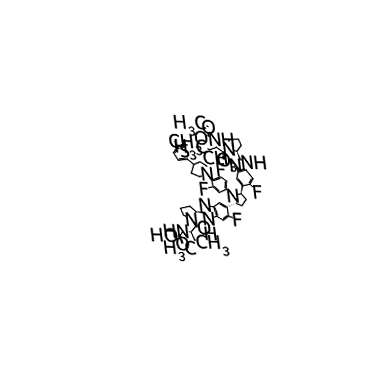 COC(=O)N[C@H](C(=O)N1CCC[C@H]1c1nc2cc([C@H]3CC[C@H](c4cc5nc([C@@H]6CCCN6C(=O)[C@@H](NC(=O)O)C(C)C)[nH]c5cc4F)N3c3cc(F)c(N4CCC(c5ccc(C)s5)CC4)c(F)c3)c(F)cc2[nH]1)C(C)C